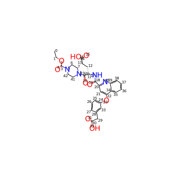 CCOC(=O)N1CCN(C(=O)[C@H](CCC(=O)O)NC(=O)c2cc(Oc3cccc(CC(=O)O)c3)c3ccccc3n2)CC1